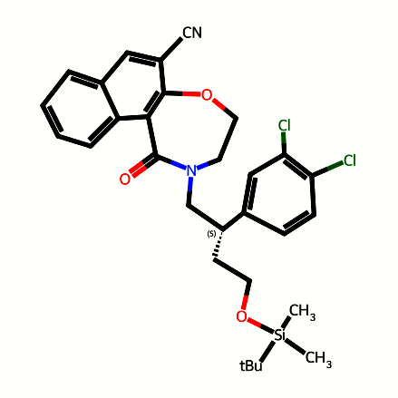 CC(C)(C)[Si](C)(C)OCC[C@H](CN1CCOc2c(C#N)cc3ccccc3c2C1=O)c1ccc(Cl)c(Cl)c1